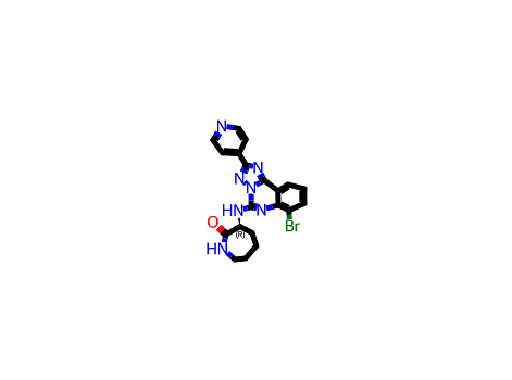 O=C1NCCCC[C@H]1Nc1nc2c(Br)cccc2c2nc(-c3ccncc3)nn12